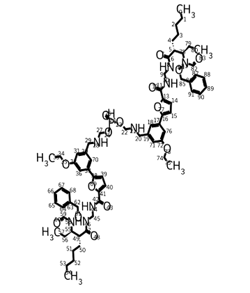 CCCCC[C@@H](C(=O)NCNC(=O)c1ccc(-c2cc(CNCO[PH](=O)OCNCc3cc(OCC)cc(-c4ccc(C(=O)NCNC(=O)[C@H](CCCCC)[C@@H](CC)N(C=O)OCc5ccccc5)o4)c3)cc(OCC)c2)o1)[C@@H](CC)N(C=O)OCc1ccccc1